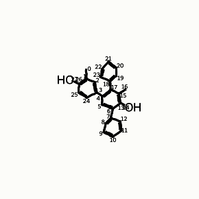 Cc1cc(-c2cc(-c3ccccc3)c(O)c(C)c2-c2ccccc2)ccc1O